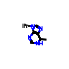 CC1NC=Nc2c1ncn2C(C)C